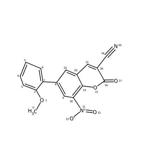 COc1ccccc1-c1cc([N+](=O)[O-])c2oc(=O)c(C#N)cc2c1